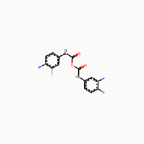 O=C(Bc1ccc(I)c(I)c1)OC(=O)Bc1ccc(I)c(I)c1